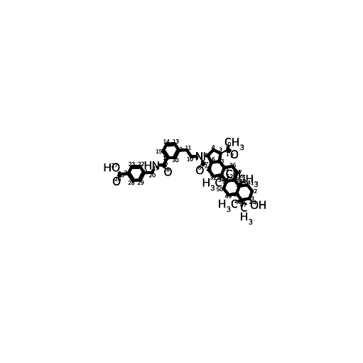 CC(=O)[C@@H]1CC[C@]2(C(=O)NCCc3cccc(C(=O)NCc4ccc(C(=O)O)cc4)c3)CC[C@]3(C)C(CCC4C5(C)CC[C@H](O)C(C)(C)C5CC[C@]43C)C12